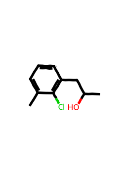 Cc1cc[c]c(CC(C)O)c1Cl